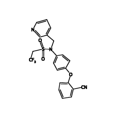 N#Cc1ccccc1Oc1ccc(N(Cc2cccnc2)S(=O)(=O)CC(F)(F)F)cc1